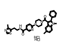 Cc1ccc2c(c1)c(C(=O)N1CCN(c3ccc(C(=O)NCCc4scnc4C)cn3)CC1)c(-c1ccccc1)n2C.Cl.Cl